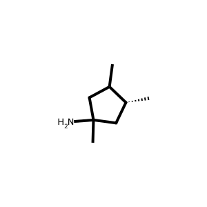 CC1CC(C)(N)C[C@H]1C